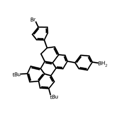 Bc1ccc(-c2cc3c4c(c5cc(C(C)(C)C)cc6cc(C(C)(C)C)cc(c4c2)c65)CC(c2ccc(Br)cc2)C=3)cc1